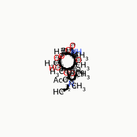 C#CCCN(C)[C@H]1C[C@@H](C)O[C@@H](O[C@@H]2[C@@H](C)[C@H](O)[C@@H](C)C(=O)O[C@H](CC)[C@@]3(C)OC(=O)N[C@@H]3[C@@H](C)C(=O)[C@H](C)C[C@@]2(C)OC)[C@@H]1OC(C)=O